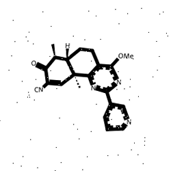 [C-]#[N+]C1=C[C@]2(C)c3nc(-c4cccnc4)nc(OC)c3CC[C@H]2[C@H](C)C1=O